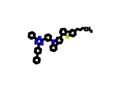 CCCCc1ccc2sc3c(-c4ccc5c6ccccc6n(-c6cccc(-c7nc(-c8ccccc8)nc(-c8ccc(-c9ccccc9)cc8)n7)c6)c5c4)cccc3c2c1